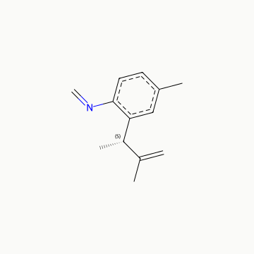 C=Nc1ccc(C)cc1[C@@H](C)C(=C)C